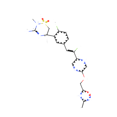 Cc1noc(COc2cnc(/C(F)=C/c3ccc(F)c([C@]4(C)CS(=O)(=O)N(C)C(N)=N4)c3)cn2)n1